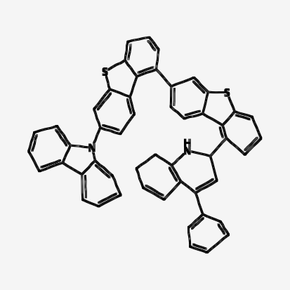 C1=CC2=C(CC1)NC(c1cccc3sc4cc(-c5cccc6sc7cc(-n8c9ccccc9c9ccccc98)ccc7c56)ccc4c13)C=C2c1ccccc1